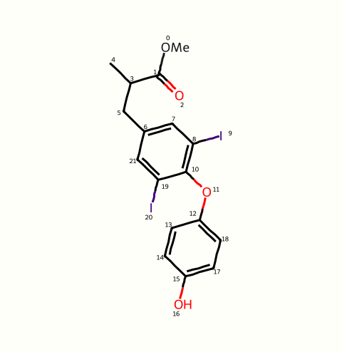 COC(=O)C(C)Cc1cc(I)c(Oc2ccc(O)cc2)c(I)c1